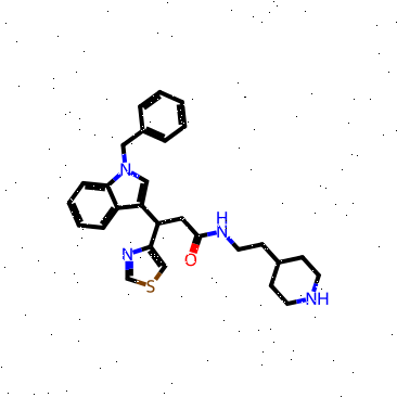 O=C(CC(c1cscn1)c1cn(Cc2ccccc2)c2ccccc12)NCCC1CCNCC1